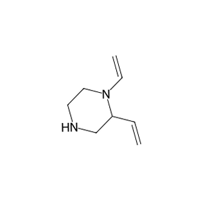 C=CC1CNCCN1C=C